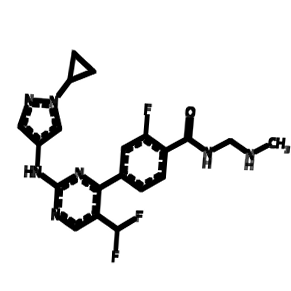 CNCNC(=O)c1ccc(-c2nc(Nc3cnn(C4CC4)c3)ncc2C(F)F)cc1F